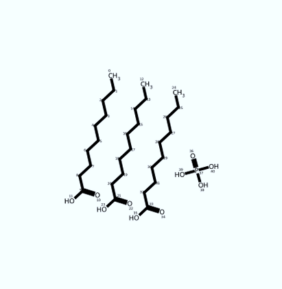 CCCCCCCCCC(=O)O.CCCCCCCCCC(=O)O.CCCCCCCCCC(=O)O.O=P(O)(O)O